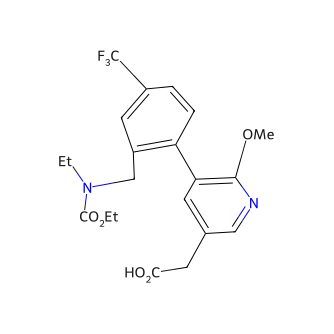 CCOC(=O)N(CC)Cc1cc(C(F)(F)F)ccc1-c1cc(CC(=O)O)cnc1OC